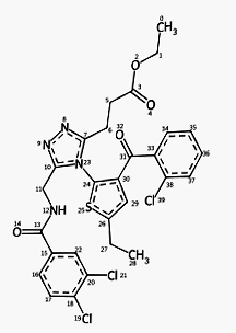 CCOC(=O)CCc1nnc(CNC(=O)c2ccc(Cl)c(Cl)c2)n1-c1sc(CC)cc1C(=O)c1ccccc1Cl